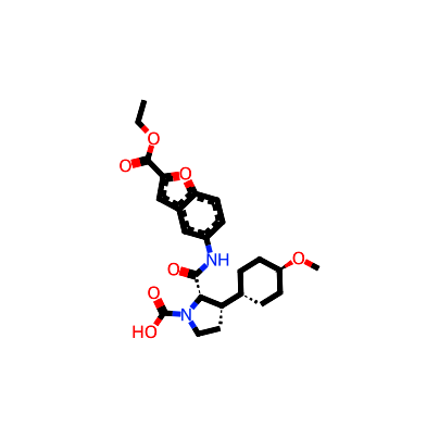 CCOC(=O)c1cc2cc(NC(=O)[C@@H]3[C@H]([C@H]4CC[C@H](OC)CC4)CCN3C(=O)O)ccc2o1